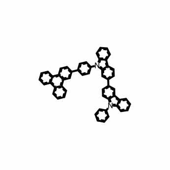 c1ccc(-n2c3ccccc3c3cc(-c4ccc5c6ccccc6n(-c6ccc(-c7ccc8c9ccccc9c9ccccc9c8c7)cc6)c5c4)ccc32)cc1